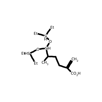 C=C(CCC(C)[SiH](O[SiH](CC)CC)O[SiH](CC)CC)C(=O)O